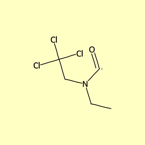 CCN([C]=O)CC(Cl)(Cl)Cl